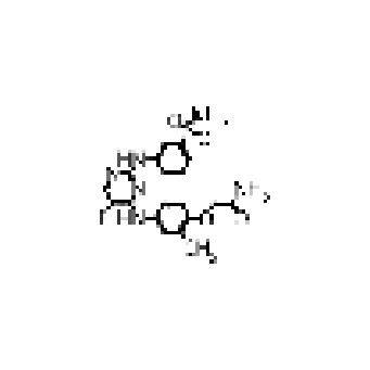 Cc1cc(Nc2nc(Nc3cccc(S(N)(=O)=O)c3)ncc2F)ccc1OCC(N)=O